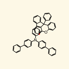 c1ccc(-c2ccc(N(c3ccc(-c4ccccc4)cc3)c3ccc(-c4ccccc4C4(c5ccccc5)c5ccccc5Oc5ccccc54)cc3)cc2)cc1